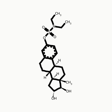 CCN(CC)S(=O)(=O)Oc1ccc2c(c1)CC[C@@H]1[C@@H]2CC[C@]2(C)[C@@H](O)[C@H](O)C[C@@H]12